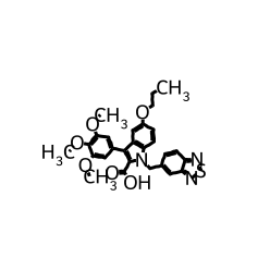 CCCOc1ccc2c(c1)c(-c1cc(OC)c(OC)c(OC)c1)c(C(=O)O)n2Cc1ccc2nsnc2c1